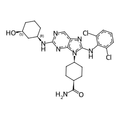 NC(=O)[C@H]1CC[C@@H](n2c(Nc3c(Cl)cccc3Cl)nc3cnc(N[C@@H]4CCC[C@H](O)C4)nc32)CC1